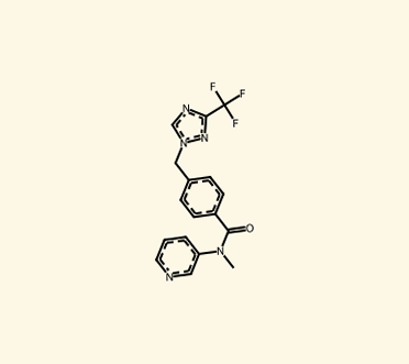 CN(C(=O)c1ccc(Cn2cnc(C(F)(F)F)n2)cc1)c1cccnc1